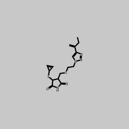 C=C(CC)c1cn(CCOCC2C(=O)NC(=O)C2SC2C=C2)nn1